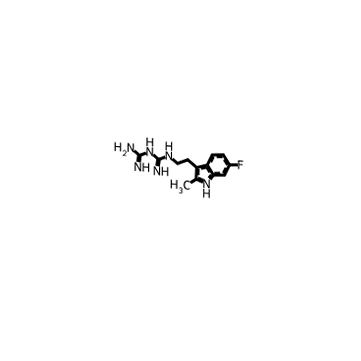 Cc1[nH]c2cc(F)ccc2c1CCNC(=N)NC(=N)N